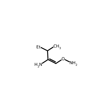 CCC(C)/C(N)=C\ON